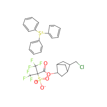 O=C(OC1CC2CC1CC2CCl)C(C(F)(F)F)(C(F)(F)F)S(=O)(=O)[O-].c1ccc([S+](c2ccccc2)c2ccccc2)cc1